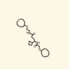 O=C(CCC(NC(=O)COC1CCCCCCCC1)C1CCC1)NCCOC1CCCCCCCC1